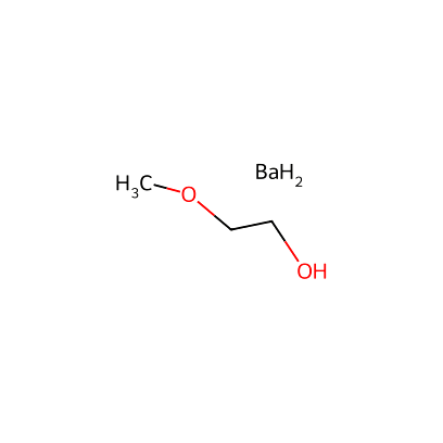 COCCO.[BaH2]